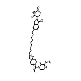 C/N=C(/N1CCC2(CC1)CN(CCCCCCCCCc1ccc3c(c1)CN(C1CCC(=O)NC1=O)C3=O)C2)N1C=CN=C(N)C1C